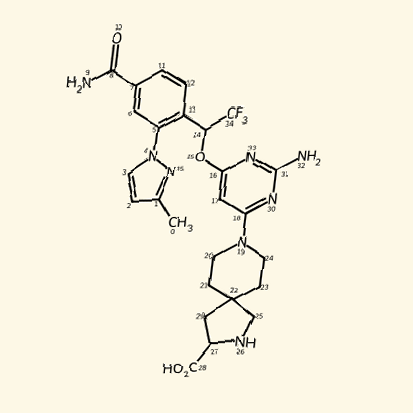 Cc1ccn(-c2cc(C(N)=O)ccc2C(Oc2cc(N3CCC4(CC3)CNC(C(=O)O)C4)nc(N)n2)C(F)(F)F)n1